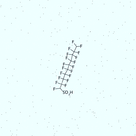 O=S(=O)(O)C(F)C(F)(F)C(F)(F)C(F)(F)C(F)(F)C(F)(F)C(F)(F)C(F)(F)C(F)(F)C(F)F